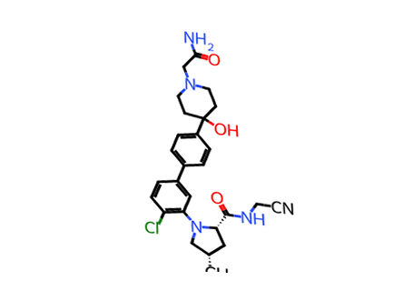 C[C@H]1C[C@@H](C(=O)NCC#N)N(c2cc(-c3ccc(C4(O)CCN(CC(N)=O)CC4)cc3)ccc2Cl)C1